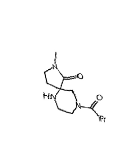 CC(C)C(=O)N1CCNC2(CCN(I)C2=O)C1